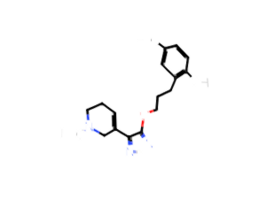 Cc1ccc(C)c(CCCOc2nsnc2C2=CCCN(C)C2)c1